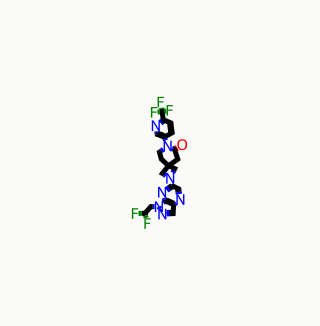 O=C1CC2(CCN1c1ccc(C(F)(F)F)nc1)CN(c1cnc3cnn(CC(F)F)c3n1)C2